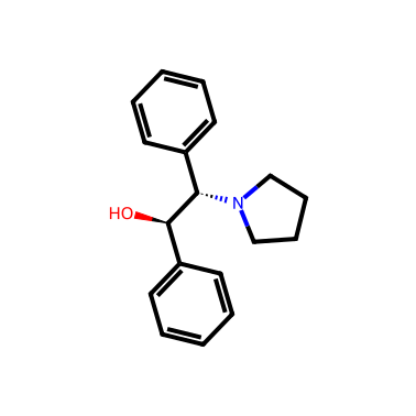 O[C@H](c1ccccc1)[C@H](c1ccccc1)N1CCCC1